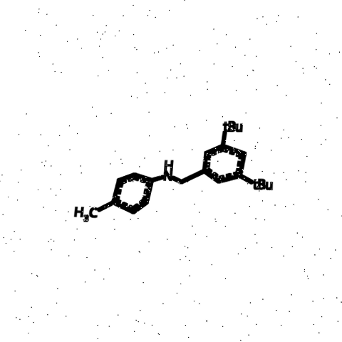 Cc1ccc(NCc2cc(C(C)(C)C)cc(C(C)(C)C)c2)cc1